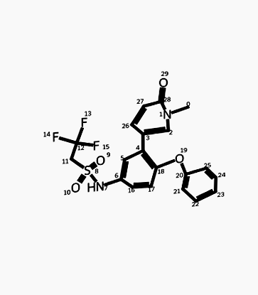 Cn1cc(-c2cc(NS(=O)(=O)CC(F)(F)F)ccc2Oc2ccccc2)ccc1=O